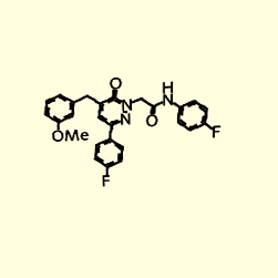 COc1cccc(Cc2cc(-c3ccc(F)cc3)nn(CC(=O)Nc3ccc(F)cc3)c2=O)c1